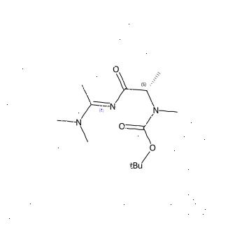 C/C(=N\C(=O)[C@H](C)N(C)C(=O)OC(C)(C)C)N(C)C